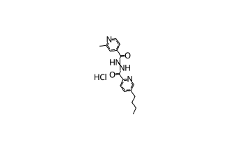 CCCCc1ccc(C(=O)NNC(=O)c2ccnc(C)c2)nc1.Cl